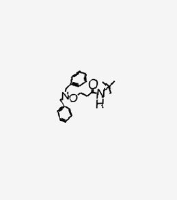 CC(C)(C)NC(=O)CCON(Cc1ccccc1)Cc1ccccc1